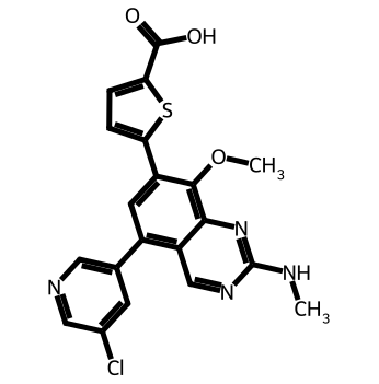 CNc1ncc2c(-c3cncc(Cl)c3)cc(-c3ccc(C(=O)O)s3)c(OC)c2n1